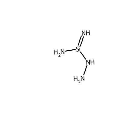 N=[Si](N)NN